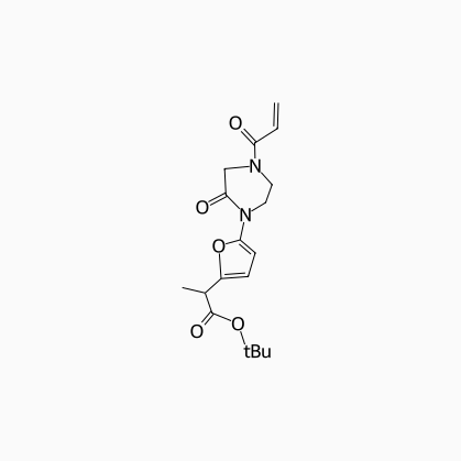 C=CC(=O)N1CCN(c2ccc(C(C)C(=O)OC(C)(C)C)o2)C(=O)C1